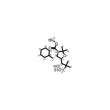 CCOC(=O)C(C)(C)[C@H](O)[C@@H]1OC(C)(C)N(C(=O)OC(C)(C)C)[C@H]1CC1CCCCC1